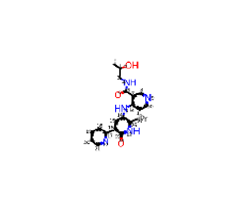 CC(O)CNC(=O)c1cnccc1Nc1cc(-c2ccccn2)c(=O)[nH]c1C(C)C